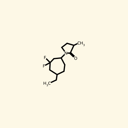 CCC1CCC(N2CCC(C)C2=O)CC(F)(F)C1